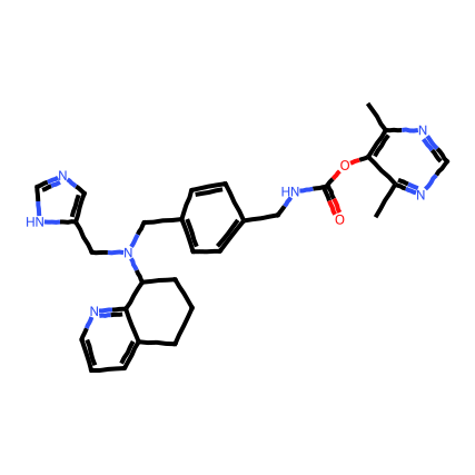 Cc1ncnc(C)c1OC(=O)NCc1ccc(CN(Cc2cnc[nH]2)C2CCCc3cccnc32)cc1